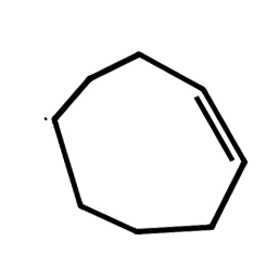 [CH]1CCC=CCCC1